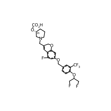 O=C(O)O[C@@H]1CCCN(CC2=Cc3c(F)cc(OCc4ccc(OC(CF)CF)c(C(F)(F)F)c4)cc3OC2)C1